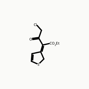 CCOC(=O)C(C(=O)CCl)=C1C=CSC1